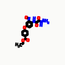 CCOC(=O)[C@H]1CC[C@@H](Oc2ccc(NC(=O)C(=O)NN)c(N=O)c2)CC1